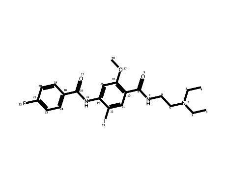 CCN(CC)CCNC(=O)c1cc(I)c(NC(=O)c2ccc(F)cc2)cc1OC